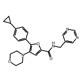 O=C(NCc1cncnc1)c1cc(N2CCOCC2)c(-c2ccc(C3CC3)cc2)o1